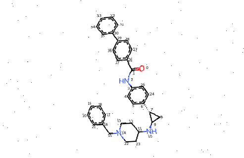 O=C(Nc1ccc([C@@H]2C[C@H]2NC2CCN(Cc3ccccc3)CC2)cc1)c1ccc(-c2ccccc2)cc1